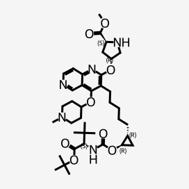 COC(=O)[C@@H]1C[C@@H](Oc2nc3ccncc3c(OC3CCN(C)CC3)c2CCCCC[C@@H]2C[C@H]2OC(=O)N[C@H](C(=O)OC(C)(C)C)C(C)(C)C)CN1